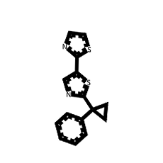 c1ccc(C2(c3ncc(-c4nccs4)s3)CC2)cc1